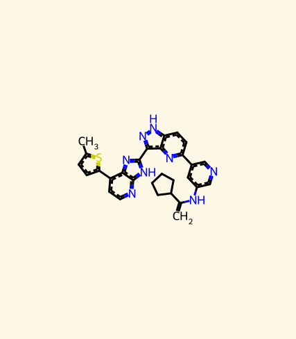 C=C(Nc1cncc(-c2ccc3[nH]nc(-c4nc5c(-c6ccc(C)s6)ccnc5[nH]4)c3n2)c1)C1CCCC1